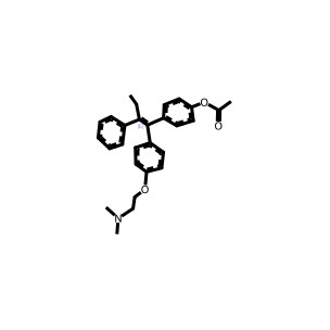 CC/C(=C(/c1ccc(OCCN(C)C)cc1)c1ccc(OC(C)=O)cc1)c1ccccc1